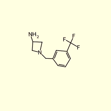 NC1CN(Cc2cccc(C(F)(F)F)c2)C1